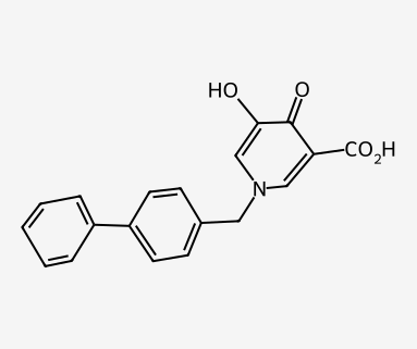 O=C(O)c1cn(Cc2ccc(-c3ccccc3)cc2)cc(O)c1=O